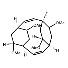 COC1C[C@H]2/C=C\[C@@H]3CC(OC)[C@H](/C=C\[C@@H]1C[C@@H]2OC)C[C@@H]3OC